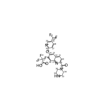 O=C(O)C(F)(F)F.O=C(c1ccc2cc(Oc3ccc(C(F)F)cn3)ccc2n1)N1CCNCC1